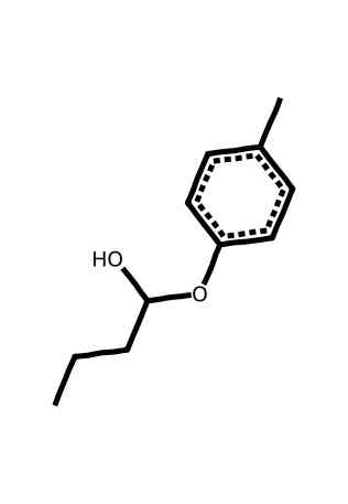 CCCC(O)Oc1ccc(C)cc1